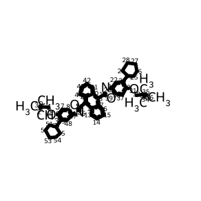 CC(C)(C)COc1cc2oc(-c3c4ccccc4c(-c4nc5cc(C6CCCCC6)c(OCC(C)(C)C)cc5o4)c4ccccc34)nc2cc1C1CCCCC1